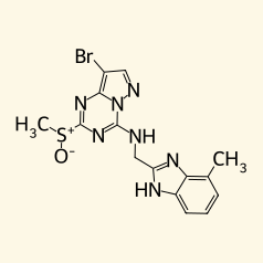 Cc1cccc2[nH]c(CNc3nc([S+](C)[O-])nc4c(Br)cnn34)nc12